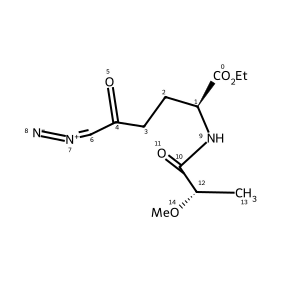 CCOC(=O)[C@H](CCC(=O)C=[N+]=[N-])NC(=O)[C@H](C)OC